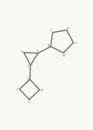 C1CC([C]2CC2C2CCCC2)C1